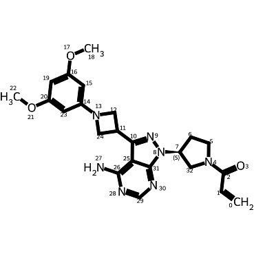 C=CC(=O)N1CC[C@H](n2nc(C3CN(c4cc(OC)cc(OC)c4)C3)c3c(N)ncnc32)C1